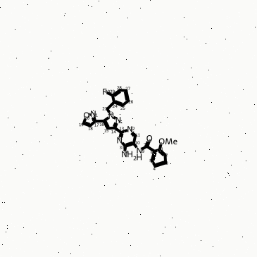 COc1ccccc1C(=O)Nc1cnc(-c2cc(-c3ccon3)n(Cc3ccccc3F)n2)nc1N